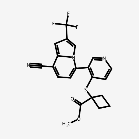 COC(=O)C1(Sc2ccncc2-c2ccc(C#N)c3cc(C(F)(F)F)cn23)CCC1